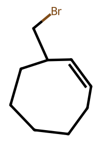 BrCC1/C=C\CCCCC1